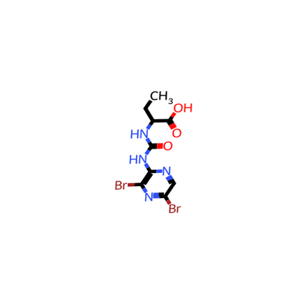 CCC(NC(=O)Nc1ncc(Br)nc1Br)C(=O)O